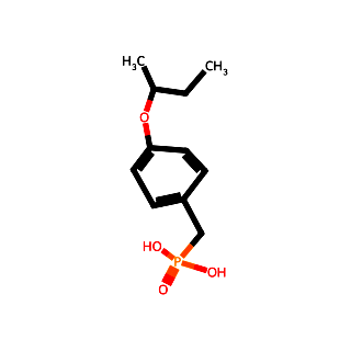 CCC(C)Oc1ccc(CP(=O)(O)O)cc1